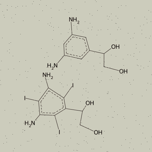 Nc1c(I)c(N)c(I)c(C(O)CO)c1I.Nc1cc(N)cc(C(O)CO)c1